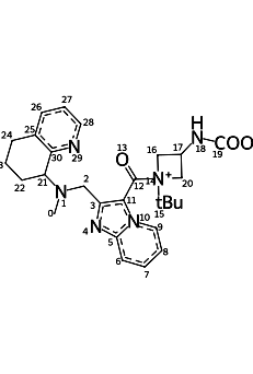 CN(Cc1nc2ccccn2c1C(=O)[N+]1(C(C)(C)C)CC(NC(=O)[O-])C1)C1CCCc2cccnc21